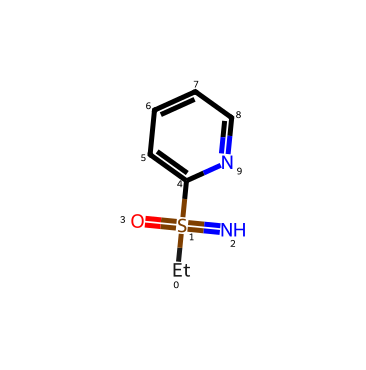 CCS(=N)(=O)c1ccccn1